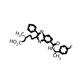 C[C@H](CCc1nc2cc(C(=O)N[C@H](C)c3ccc(F)cc3)ccc2nc1-c1ccccc1)CC(=O)O